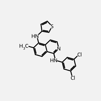 Cc1ccc2c(Nc3cc(Cl)cc(Cl)c3)nccc2c1Nc1ccsc1